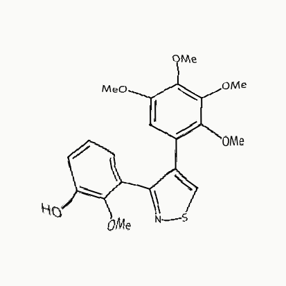 COc1cc(-c2csnc2-c2cccc(O)c2OC)c(OC)c(OC)c1OC